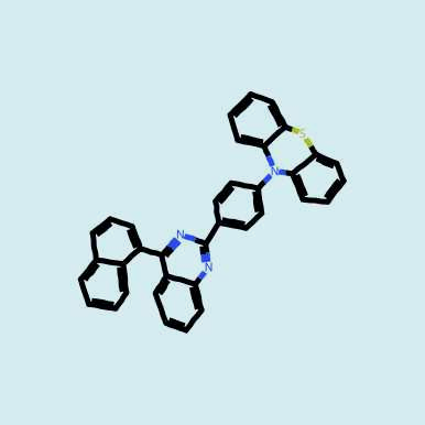 c1ccc2c(c1)Sc1ccccc1N2c1ccc(-c2nc(-c3cccc4ccccc34)c3ccccc3n2)cc1